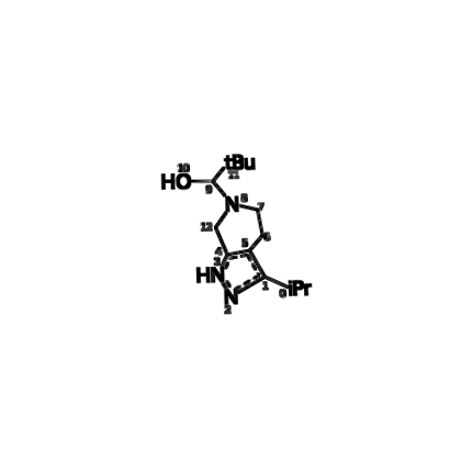 CC(C)c1n[nH]c2c1CCN(C(O)C(C)(C)C)C2